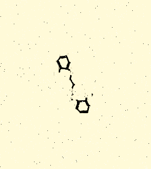 O=[N+]([O-])c1ccccc1S(=O)(=O)NCCNc1ccccc1Br